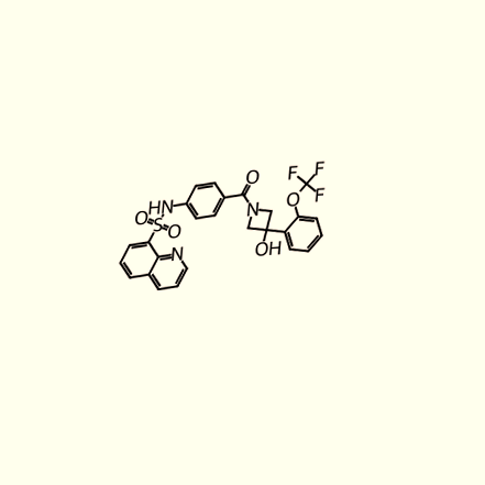 O=C(c1ccc(NS(=O)(=O)c2cccc3cccnc23)cc1)N1CC(O)(c2ccccc2OC(F)(F)F)C1